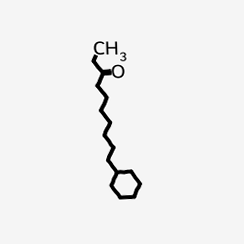 CCC(=O)CCCCCCCC1CCCCC1